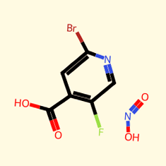 O=C(O)c1cc(Br)ncc1F.O=NO